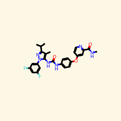 CNC(=O)c1cc(Oc2ccc(NC(=O)Nc3c(C)c(C(C)C)nn3-c3cc(F)cc(F)c3)cc2)ccn1